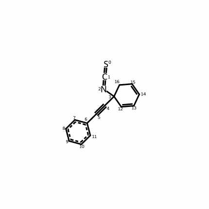 S=C=NC1(C#Cc2ccccc2)C=CC=CC1